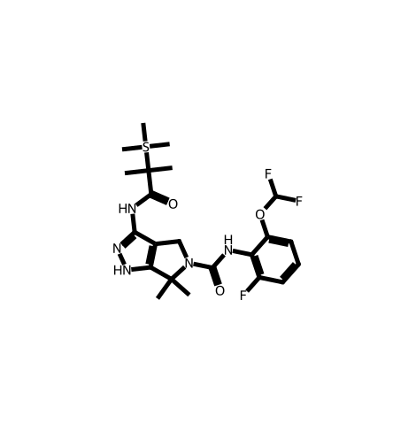 CC1(C)c2[nH]nc(NC(=O)C(C)(C)S(C)(C)C)c2CN1C(=O)Nc1c(F)cccc1OC(F)F